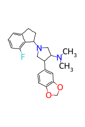 CN(C)C1CN(C2CCc3cccc(F)c32)CC1c1ccc2c(c1)OCO2